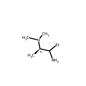 CCC(N)[C@@H](C)N(C)C